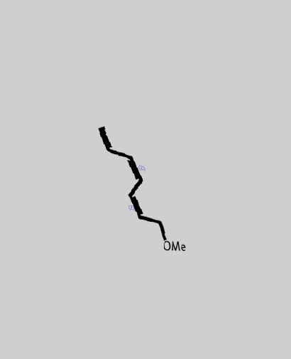 C=C/C=C\C=C/COC